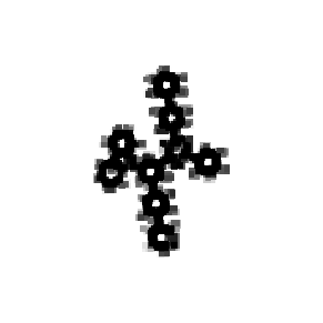 C1=Cc2c(n(-c3cc(-c4ccc(-c5cccnc5)cc4)cc(-c4nc(-c5ccccc5)nc(-c5ccc(-c6ccccc6)cc5)n4)c3)c3ccccc23)CC1